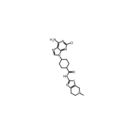 CN1CCc2nc(NC(=O)C3CCC(n4cnc5c(N)nc(Cl)nc54)CC3)sc2C1